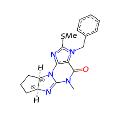 CSc1nc2c(n1Cc1ccccc1)C(=O)N(C)C1=N[C@H]3CCC[C@H]3N12